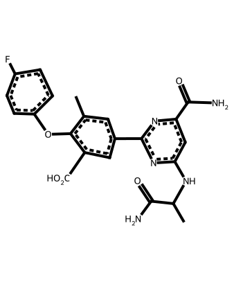 Cc1cc(-c2nc(NC(C)C(N)=O)cc(C(N)=O)n2)cc(C(=O)O)c1Oc1ccc(F)cc1